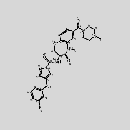 CN1CCN(C(=O)c2ccc3c(c2)N(C)C(=O)[C@@H](NC(=O)n2cc(Cc4cccc(F)c4)cn2)CO3)CC1